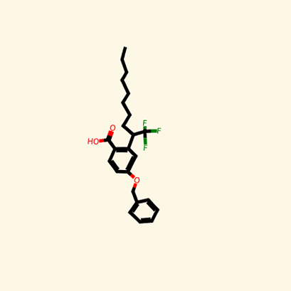 CCCCCCCCC(c1cc(OCc2ccccc2)ccc1C(=O)O)C(F)(F)F